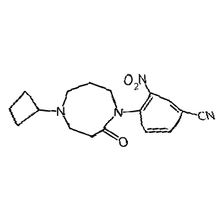 N#Cc1ccc(N2CCCN(C3CCC3)CCC2=O)c([N+](=O)[O-])c1